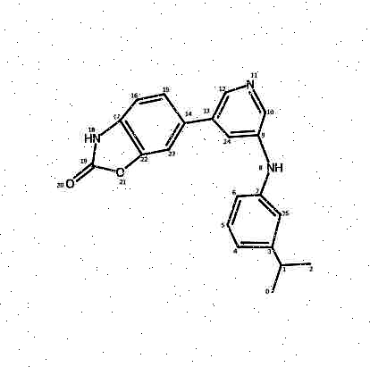 CC(C)c1cccc(Nc2cncc(-c3ccc4[nH]c(=O)oc4c3)c2)c1